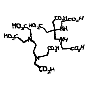 O=C(O)CN(CCN(CC(=O)O)CC(=O)O)CC(=O)O.O=C(O)CNCC(CC(=O)O)(CC(=O)O)NCC(=O)O